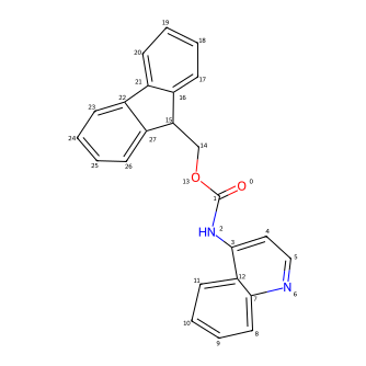 O=C(Nc1ccnc2ccccc12)OCC1c2ccccc2-c2ccccc21